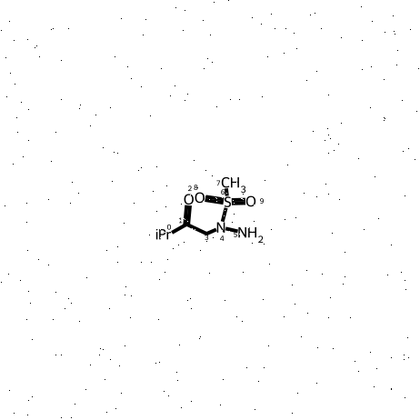 CC(C)C(=O)CN(N)S(C)(=O)=O